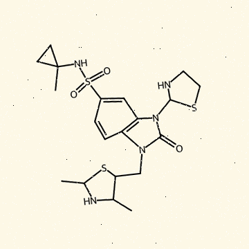 CC1NC(C)C(Cn2c(=O)n(C3NCCS3)c3cc(S(=O)(=O)NC4(C)CC4)ccc32)S1